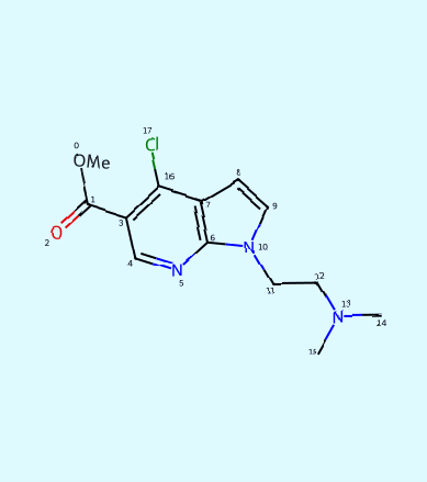 COC(=O)c1cnc2c(ccn2CCN(C)C)c1Cl